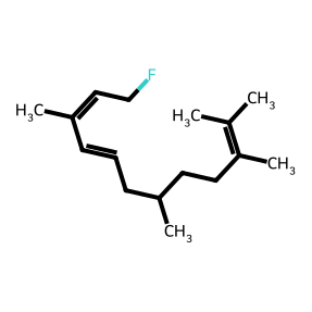 CC(C=CCC(C)CCC(C)=C(C)C)=CCF